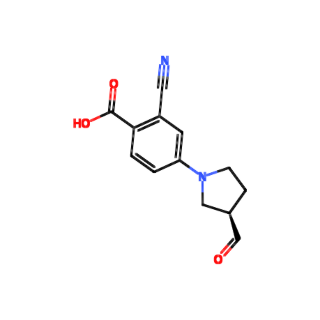 N#Cc1cc(N2CC[C@@H](C=O)C2)ccc1C(=O)O